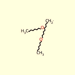 [CH2]CCCC(CCCCCOCCCCCCC)OCCCCCCCC